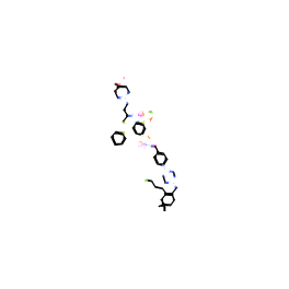 COC1(C)CCN(CCC(CSc2ccccc2)Nc2ccc(S(=O)(=O)NC(=O)c3ccc(N4CCN(CC5=C(CCCC(F)F)CC(C)(C)CC5)CC4)cc3)cc2S(=O)(=O)C(F)(F)F)CC1